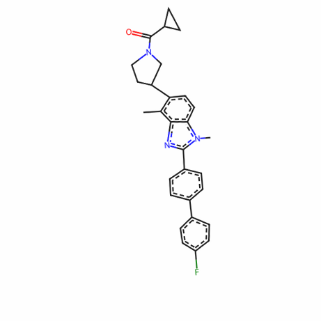 Cc1c(C2CCN(C(=O)C3CC3)C2)ccc2c1nc(-c1ccc(-c3ccc(F)cc3)cc1)n2C